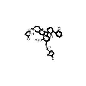 COc1nc(C2(c3ccc4c(n3)CCN(C[C@H]3CCC(=O)N3)C4)C=CC=C(c3ccccc3Cl)C2Cl)ccc1CNC[C@H]1CCC(=O)N1